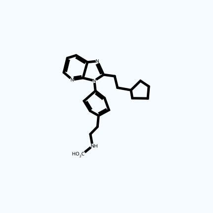 O=C(O)NCCc1ccc(-n2c(CCC3CCCC3)nc3cccnc32)cc1